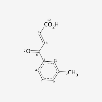 Cc1cccc(C(=O)C=CC(=O)O)c1